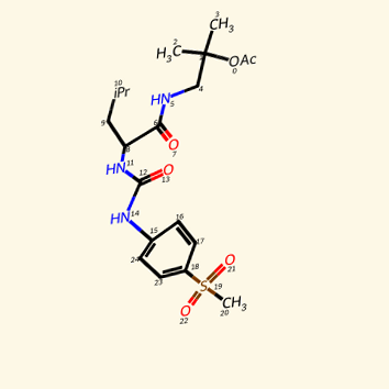 CC(=O)OC(C)(C)CNC(=O)C(CC(C)C)NC(=O)Nc1ccc(S(C)(=O)=O)cc1